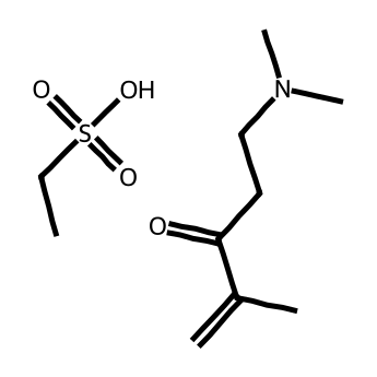 C=C(C)C(=O)CCN(C)C.CCS(=O)(=O)O